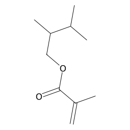 C=C(C)C(=O)OCC(C)C(C)C